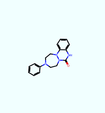 O=C1Nc2ccccc2N2CCN(c3ccccc3)CCN12